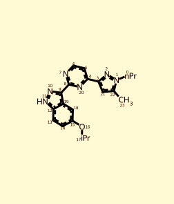 CCCn1nc(-c2ccnc(-c3n[nH]c4ccc(OC(C)C)cc34)n2)cc1C